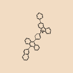 C1=C(c2c3ccccc3c(-c3ccc4ccccc4c3)c3ccccc23)CCC(n2c3ccccc3c3cc(-c4ccccc4)ccc32)=C1